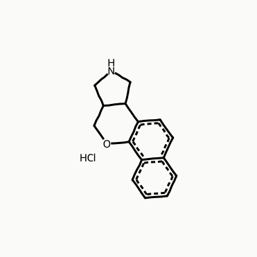 Cl.c1ccc2c3c(ccc2c1)C1CNCC1CO3